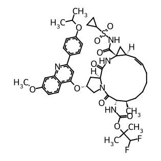 COc1ccc2c(O[C@@H]3C[C@H]4C(=O)N[C@]5(C(=O)NS(=O)(=O)C6CC6)C[C@H]5C=CCCCC[C@@H](C)[C@H](NC(=O)OC(C)(C)C(F)F)C(=O)N4C3)cc(-c3ccc(OC(C)C)cc3)nc2c1